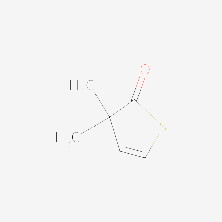 CC1(C)C=CSC1=O